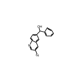 [2H]c1cnc2ccc(C(O)c3ccccc3)cc2c1